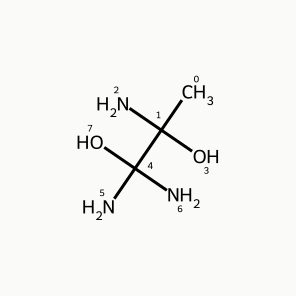 CC(N)(O)C(N)(N)O